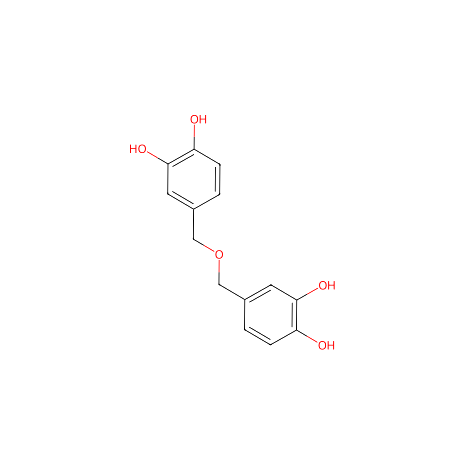 Oc1ccc(COCc2ccc(O)c(O)c2)cc1O